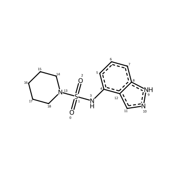 O=S(=O)(Nc1cccc2[nH]ncc12)N1CCCCC1